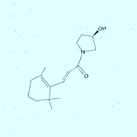 CC1=C(/C=C/C(=O)N2CC[C@@H](O)C2)C(C)(C)CCC1